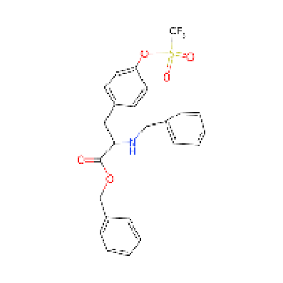 O=C(OCc1ccccc1)C(Cc1ccc(OS(=O)(=O)C(F)(F)F)cc1)NCc1ccccc1